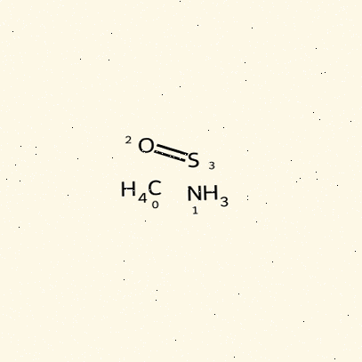 C.N.O=S